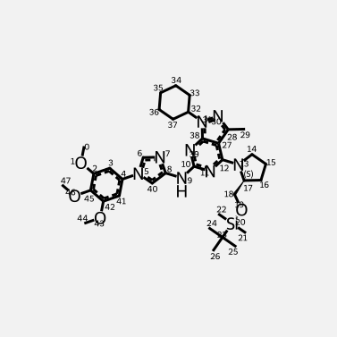 COc1cc(-n2cnc(Nc3nc(N4CCC[C@H]4CO[Si](C)(C)C(C)(C)C)c4c(C)nn(C5CCCCC5)c4n3)c2)cc(OC)c1OC